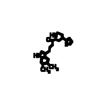 Cc1cc2[nH]cc(CCCC(=O)C3CC(c4cccs4)=CCN3)c2cc1C